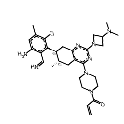 C=CC(=O)N1CCN(c2nc(N3CC(N(C)C)C3)nc3c2C[C@H](C)[C@@H](c2c(Cl)c(C)cc(N)c2C=N)C3)CC1